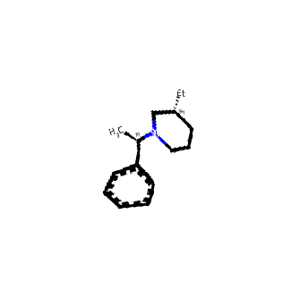 CC[C@@H]1CCCN([C@H](C)c2ccccc2)C1